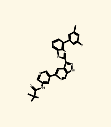 Cc1cc(F)cc(-c2cccc3[nH]c(-c4n[nH]c5cnc(-c6cncc(NC(=O)C(C)(C)C)c6)cc45)nc23)c1